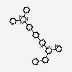 c1ccc(-c2cccc(-c3cc(-c4ccccn4)nc(-c4ccc(-c5ccc(-c6ccc(-c7nc(-c8ccccc8)nc(-c8ccccc8)n7)cc6)cc5)cn4)c3)c2)cc1